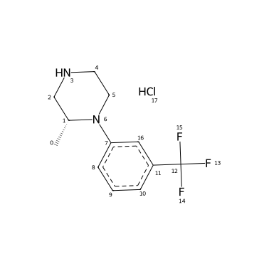 C[C@@H]1CNCCN1c1cccc(C(F)(F)F)c1.Cl